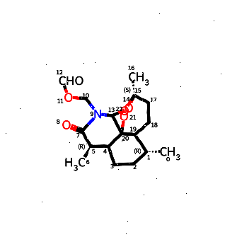 C[C@@H]1CCC2[C@@H](C)C(=O)N(COC=O)C3O[C@]4(C)CCC1C23OO4